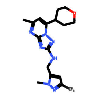 Cc1cc(C2CCOCC2)n2nc(NCc3cc(C(F)(F)F)nn3C)nc2n1